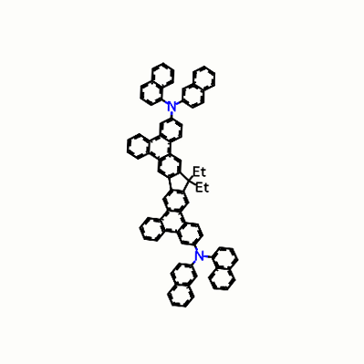 CCC1(CC)c2cc3c4ccc(N(c5ccc6ccccc6c5)c5cccc6ccccc56)cc4c4ccccc4c3cc2-c2cc3c4ccccc4c4cc(N(c5ccc6ccccc6c5)c5cccc6ccccc56)ccc4c3cc21